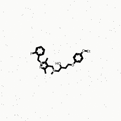 CCOc1ccc(OCCC(O)CN(C)Cc2c(C)nn(Cc3ccccc3F)c2C)cc1